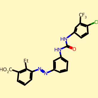 CCc1c(N=Nc2cccc(NC(=O)Nc3ccc(Cl)c(C(F)(F)F)c3)c2)cccc1C(=O)O